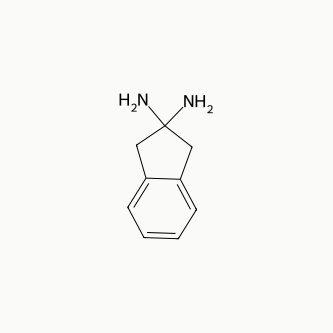 NC1(N)Cc2ccccc2C1